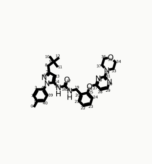 Cc1ccc(-n2nc(CC(C)(C)C)cc2NC(=O)NCc2ccccc2Oc2ccnc(N3CCOCC3)n2)cc1